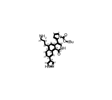 CC(C)(C)OC(=O)n1cccc1-c1c[nH]c(=O)c2c1cc(CCCN)c1ccc(-c3cn[nH]c3)cc12